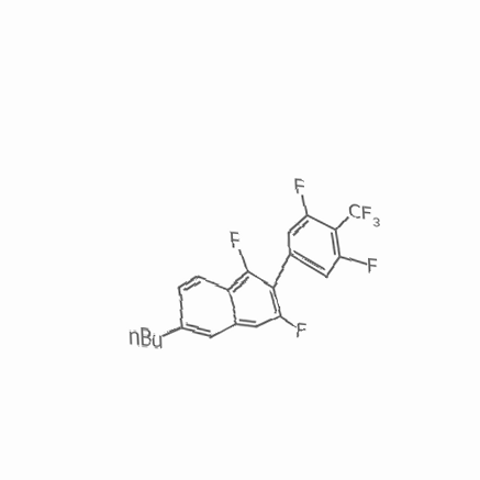 CCCCc1ccc2c(F)c(-c3cc(F)c(C(F)(F)F)c(F)c3)c(F)cc2c1